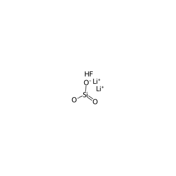 F.O=[Si]([O-])[O-].[Li+].[Li+]